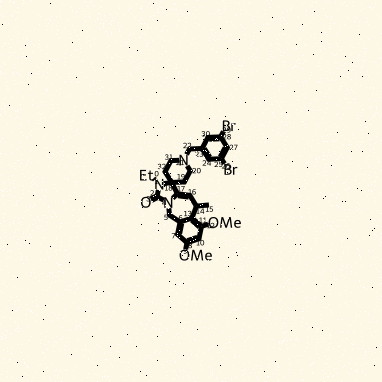 CCN1C(=O)N2Cc3cc(OC)cc(OC)c3C(C)C=C2C12CCN(Cc1cc(Br)cc(Br)c1)CC2